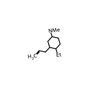 C=CCC1CC(NC)CCC1CC